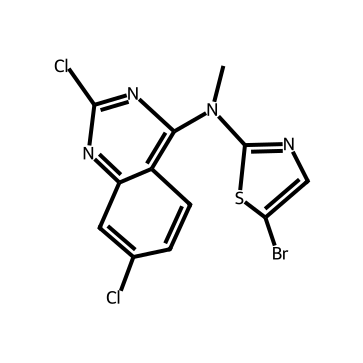 CN(c1ncc(Br)s1)c1nc(Cl)nc2cc(Cl)ccc12